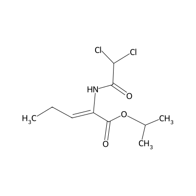 CCC=C(NC(=O)C(Cl)Cl)C(=O)OC(C)C